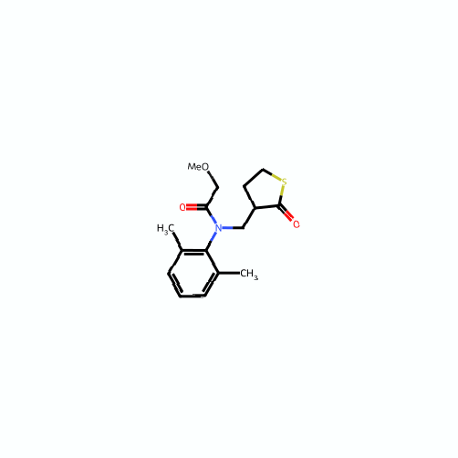 COCC(=O)N(CC1CCSC1=O)c1c(C)cccc1C